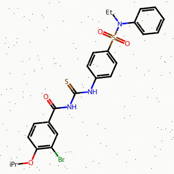 CCN(c1ccccc1)S(=O)(=O)c1ccc(NC(=S)NC(=O)c2ccc(OC(C)C)c(Br)c2)cc1